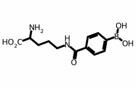 NC(CCCNC(=O)c1ccc(B(O)O)cc1)C(=O)O